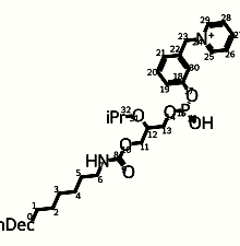 CCCCCCCCCCCCCCCCNC(=O)OCC(COP(O)Oc1cccc(C[n+]2ccccc2)c1)OC(C)C